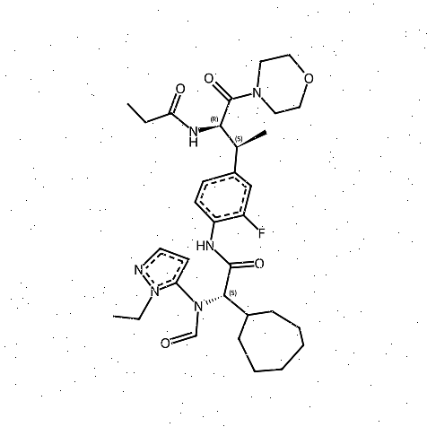 CCC(=O)N[C@@H](C(=O)N1CCOCC1)[C@@H](C)c1ccc(NC(=O)[C@H](C2CCCCCC2)N(C=O)c2ccnn2CC)c(F)c1